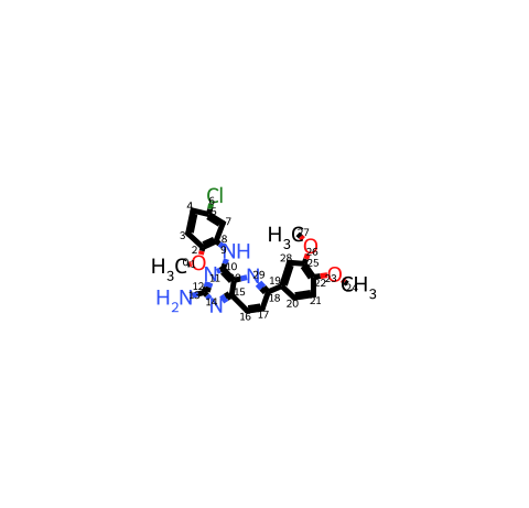 COc1ccc(Cl)cc1Nc1nc(N)nc2ccc(-c3ccc(OC)c(OC)c3)nc12